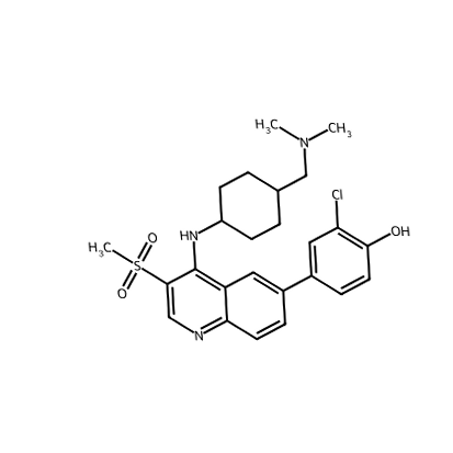 CN(C)CC1CCC(Nc2c(S(C)(=O)=O)cnc3ccc(-c4ccc(O)c(Cl)c4)cc23)CC1